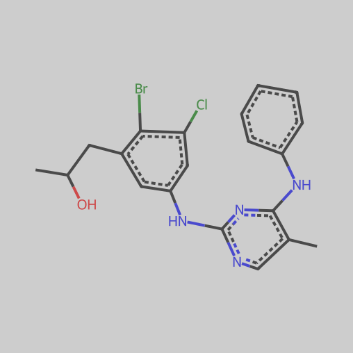 Cc1cnc(Nc2cc(Cl)c(Br)c(CC(C)O)c2)nc1Nc1ccccc1